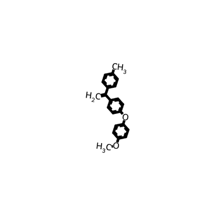 C=C(c1ccc(C)cc1)c1ccc(Oc2ccc(OC)cc2)cc1